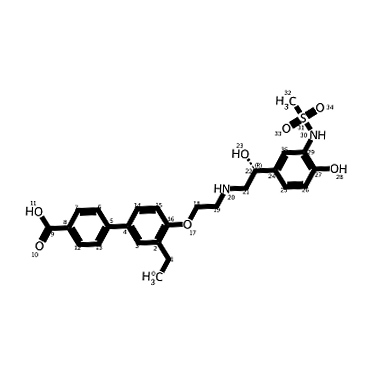 CCc1cc(-c2ccc(C(=O)O)cc2)ccc1OCCNC[C@H](O)c1ccc(O)c(NS(C)(=O)=O)c1